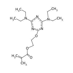 C=C(C)C(=O)OCCOc1nc(N(CC)CC)nc(N(CC)CC)n1